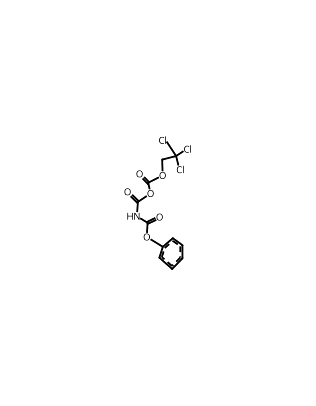 O=C(NC(=O)Oc1ccccc1)OC(=O)OCC(Cl)(Cl)Cl